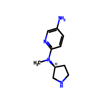 CN(c1ccc(N)cn1)[C@H]1CCNC1